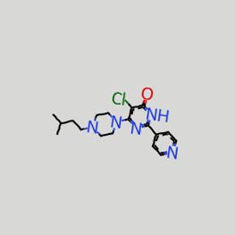 CC(C)CCN1CCN(c2nc(-c3ccncc3)[nH]c(=O)c2Cl)CC1